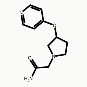 NC(=O)CN1CCC(Oc2ccncc2)C1